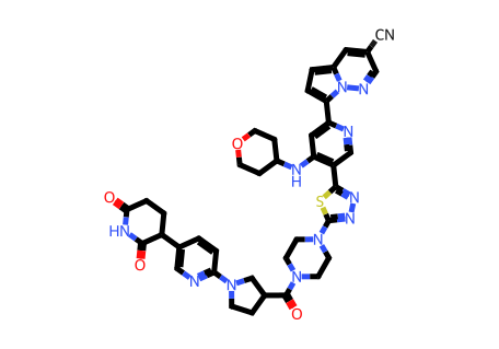 N#Cc1cnn2c(-c3cc(NC4CCOCC4)c(-c4nnc(N5CCN(C(=O)C6CCN(c7ccc(C8CCC(=O)NC8=O)cn7)C6)CC5)s4)cn3)ccc2c1